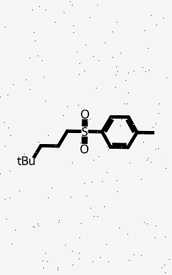 Cc1ccc(S(=O)(=O)CCCC(C)(C)C)cc1